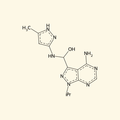 Cc1cc(NC(O)c2nn(C(C)C)c3ncnc(N)c23)n[nH]1